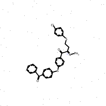 O=C(/C(CCSc1ccc(Cl)cc1)=N/P)c1ccc(Sc2ccc(C(=O)c3ccccc3)cc2)cc1